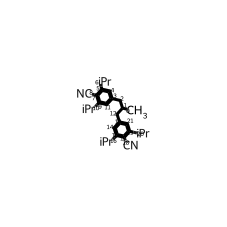 CC(Cc1cc(C(C)C)c(C#N)c(C(C)C)c1)Cc1cc(C(C)C)c(C#N)c(C(C)C)c1